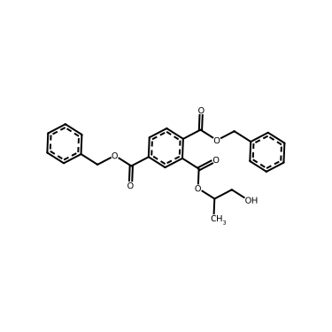 CC(CO)OC(=O)c1cc(C(=O)OCc2ccccc2)ccc1C(=O)OCc1ccccc1